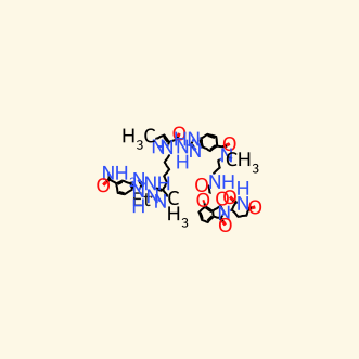 CCn1nc(C)c(CCCCCn2nc(C)cc2C(=O)Nc2nc3cc(C(=O)N(C)CCCNC(=O)COc4cccc5c4C(=O)N(C4CCC(=O)NC4=O)C5=O)ccc3[nH]2)c1Nc1nc2cc(C(N)=O)ccc2[nH]1